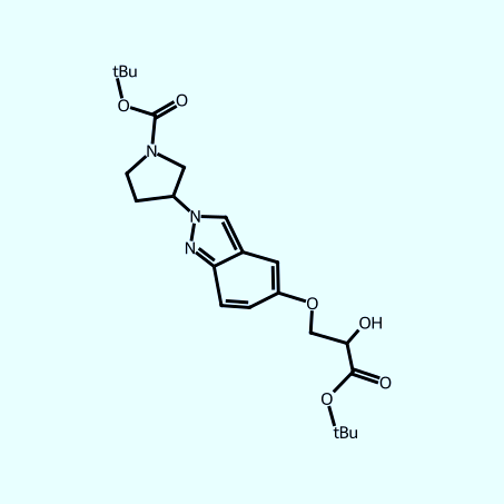 CC(C)(C)OC(=O)C(O)COc1ccc2nn(C3CCN(C(=O)OC(C)(C)C)C3)cc2c1